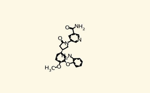 COc1ccc([C@H]2CC(=O)N(c3cncc(C(N)=O)c3)C2)cc1Oc1ccccc1N